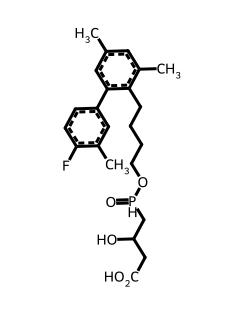 Cc1cc(C)c(CCCCO[PH](=O)CC(O)CC(=O)O)c(-c2ccc(F)c(C)c2)c1